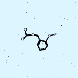 CC(C)Oc1ccccc1C=C=C(Cl)Cl